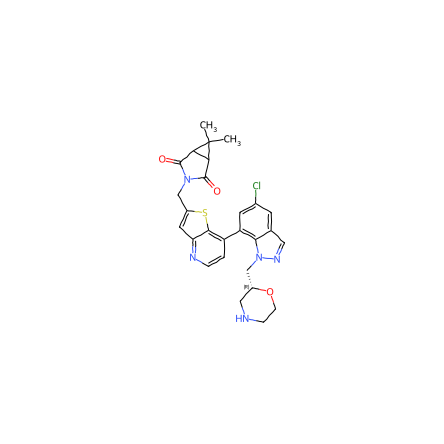 CC1(C)C2C(=O)N(Cc3cc4nccc(-c5cc(Cl)cc6cnn(C[C@H]7CNCCO7)c56)c4s3)C(=O)C21